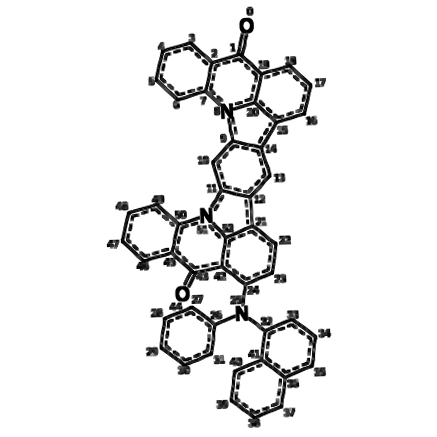 O=c1c2ccccc2n2c3cc4c(cc3c3cccc1c32)c1ccc(N(c2ccccc2)c2cccc3ccccc23)c2c(=O)c3ccccc3n4c21